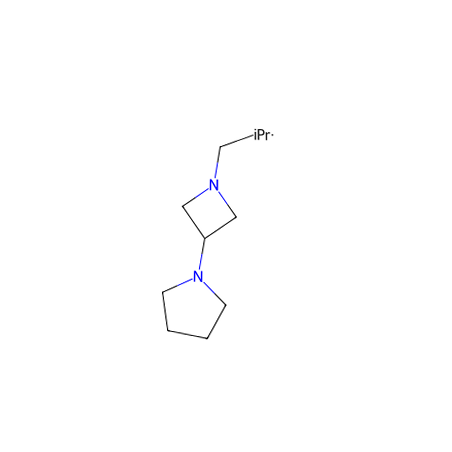 C[C](C)CN1CC(N2CCCC2)C1